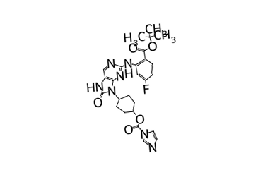 CC(C)(C)OC(=O)c1ccc(F)cc1Nc1ncc2[nH]c(=O)n(C3CCC(OC(=O)n4ccnc4)CC3)c2n1